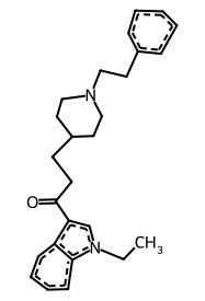 CCn1cc(C(=O)CCC2CCN(CCc3ccccc3)CC2)c2ccccc21